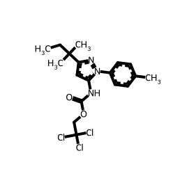 CCC(C)(C)c1cc(NC(=O)OCC(Cl)(Cl)Cl)n(-c2ccc(C)cc2)n1